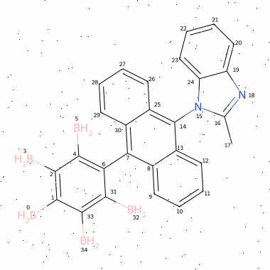 Bc1c(B)c(B)c(-c2c3ccccc3c(-n3c(C)nc4ccccc43)c3ccccc23)c(B)c1B